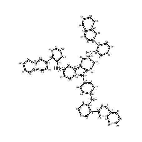 c1ccc(-c2ccc3ccccc3c2)c(Nc2ccc(-n3c4ccc(Nc5ccccc5-c5ccc6ccccc6c5)cc4c4cc(Nc5ccccc5-c5ccc6ccccc6c5)ccc43)cc2)c1